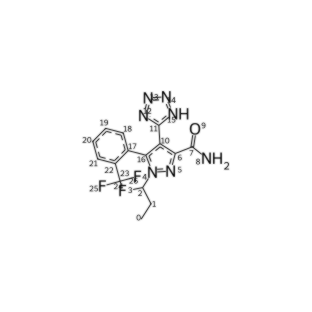 CCC(C)n1nc(C(N)=O)c(-c2nnn[nH]2)c1-c1ccccc1C(F)(F)F